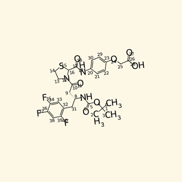 CC(C)(C)OC(=O)N[C@@H](CC(=O)N1CCSC1C(=O)Nc1ccc(OCC(=O)O)cc1)Cc1cc(F)c(F)cc1F